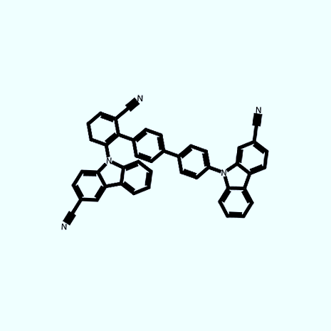 N#CC1=CCCC(n2c3ccccc3c3cc(C#N)ccc32)=C1c1ccc(-c2ccc(-n3c4ccccc4c4ccc(C#N)cc43)cc2)cc1